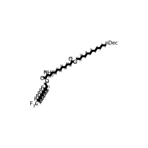 CCCCCCCCCCCCCCCCCCCCCCOC(=O)CCCCCCCCCC(N)C(=O)OCCC(F)(F)C(F)(F)C(F)(F)C(F)(F)C(F)(F)C(F)(F)F